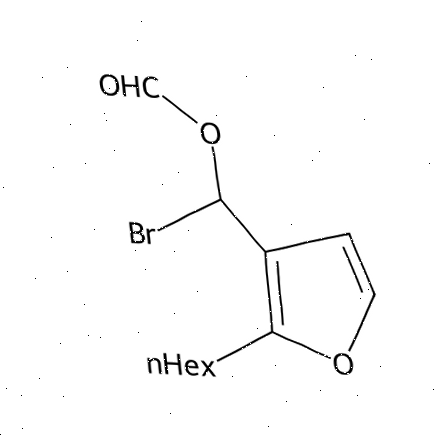 CCCCCCc1occc1C(Br)OC=O